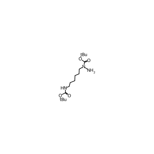 CC(C)(C)OC(=O)NCCCCCCN(N)C(=O)OC(C)(C)C